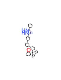 N=C(/C=C\C(=N)c1ccc(-c2cccc(-c3cccc4c3Oc3ccccc3C43c4ccccc4-c4ccccc43)c2)cc1)c1ccccc1